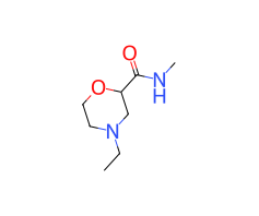 CCN1CCOC(C(=O)NC)C1